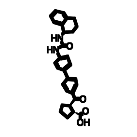 O=C(Nc1ccc(-c2ccc(C(=O)[C@@H]3CCC[C@H]3C(=O)O)cc2)cc1)NC1CCCc2ccccc21